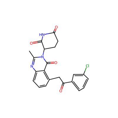 Cc1nc2cccc(CC(=O)c3cccc(Cl)c3)c2c(=O)n1C1CCC(=O)NC1=O